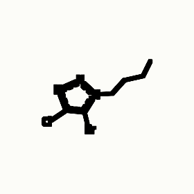 CCCCn1nnc(Cl)c1Br